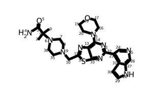 CC(C)(C(N)=O)N1CCN(Cc2nc3c(N4CCOCC4)nc(-c4cncc5[nH]ccc45)nc3s2)CC1